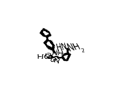 N=C(N)c1cccc(C2=NOC(CO)(C(=O)Nc3ccc(-c4ccccc4)cc3)C2)c1